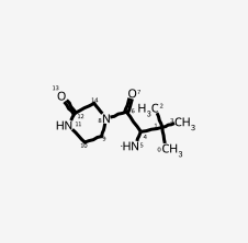 CC(C)(C)C([NH])C(=O)N1CCNC(=O)C1